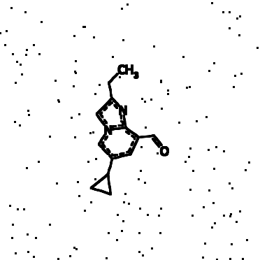 CCc1cn2cc(C3CC3)cc(C=O)c2n1